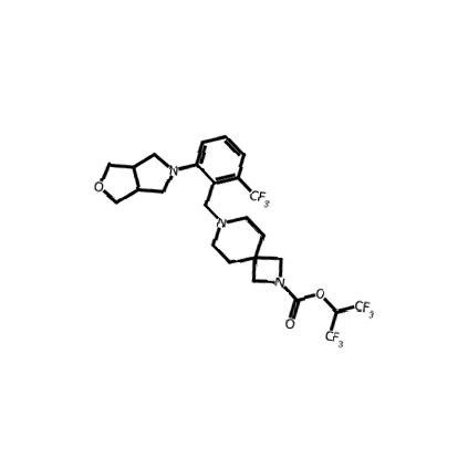 O=C(OC(C(F)(F)F)C(F)(F)F)N1CC2(CCN(Cc3c(N4CC5COCC5C4)cccc3C(F)(F)F)CC2)C1